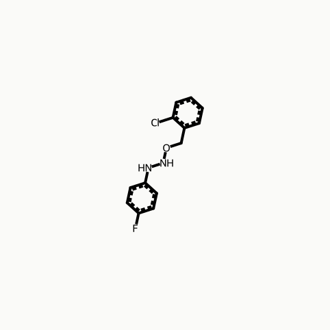 Fc1ccc(NNOCc2ccccc2Cl)cc1